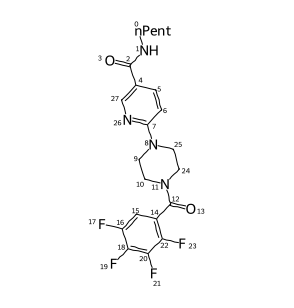 CCCCCNC(=O)c1ccc(N2CCN(C(=O)c3cc(F)c(F)c(F)c3F)CC2)nc1